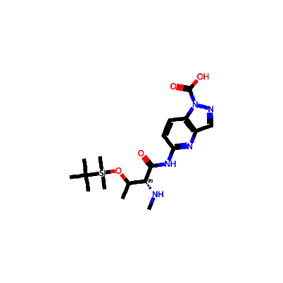 CN[C@@H](C(=O)Nc1ccc2c(cnn2C(=O)O)n1)C(C)O[Si](C)(C)C(C)(C)C